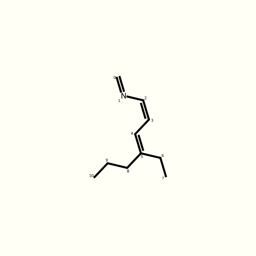 C=N/C=C\C=C(/CC)CCC